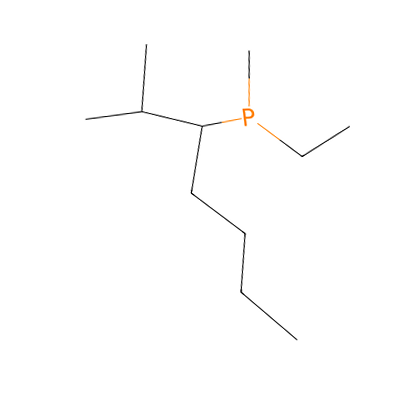 CCCCC(C(C)C)P(C)CC